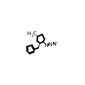 C[C@@H]1CC[C@@H](N=[N+]=[N-])[C@@H](Cc2ccccc2)C1